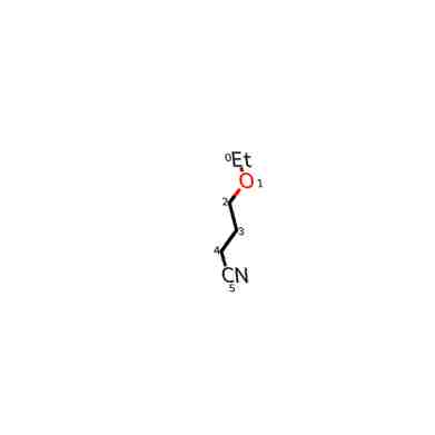 CCOCCCC#N